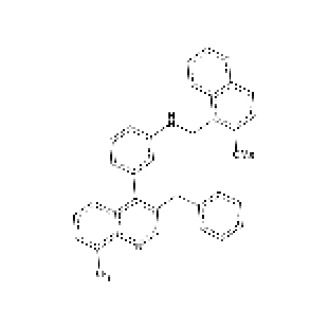 COc1ccc2ccccc2c1CNc1cccc(-c2c(Cc3ccccc3)cnc3c(C(F)(F)F)cccc23)c1